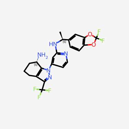 C[C@H](Nc1cc(-n2nc(C(F)(F)F)c3c2[C@@H](N)CCC3)ccn1)c1ccc2c(c1)OC(F)(F)O2